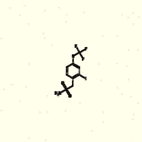 NS(=O)(=O)Cc1ccc(SC(F)(F)F)cc1I